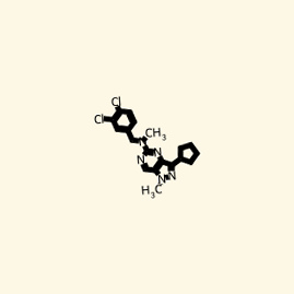 CN(Cc1ccc(Cl)c(Cl)c1)c1ncc2c(n1)c(C1CCCC1)nn2C